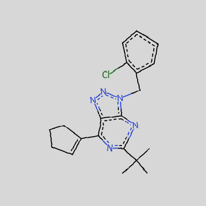 CC(C)(C)c1nc(C2=CCCC2)c2nnn(Cc3ccccc3Cl)c2n1